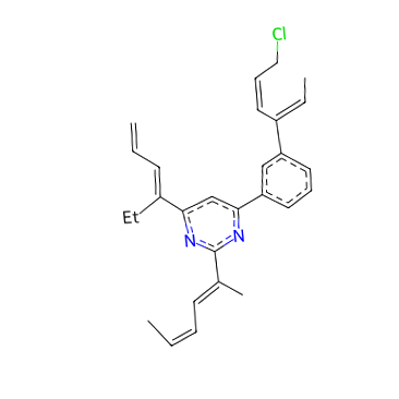 C=C/C=C(\CC)c1cc(-c2cccc(C(/C=C\CCl)=C/C)c2)nc(/C(C)=C/C=C\C)n1